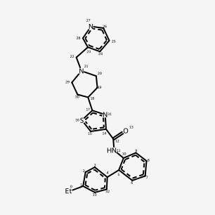 CCc1ccc(-c2ccccc2NC(=O)c2csc(C3CCN(Cc4cccnc4)CC3)n2)cc1